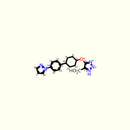 O=C(O)c1[nH]nnc1OC1CCC(c2ccc(-n3cccn3)cc2)CC1